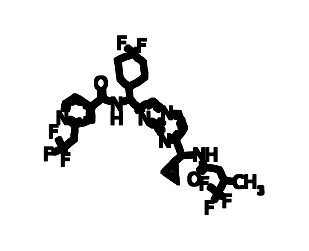 CC(CC(=O)NC(c1ccn2cc(C(NC(=O)c3ccnc(CC(F)(F)F)c3)C3CCC(F)(F)CC3)nc2n1)C1CC1)C(F)(F)F